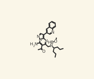 CCCC(CCC)N(BOC)Cc1nc2c(-c3cnc4ccccc4c3)cnn2c(N)c1C(C)=O